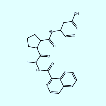 CN(NC(=O)c1nccc2ccccc12)C(=O)N1CCCC1C(=O)NC(C=O)CC(=O)O